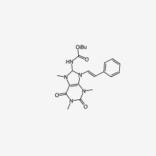 CC(C)COC(=O)NC1N(C)c2c(n(C)c(=O)n(C)c2=O)N1C=Cc1ccccc1